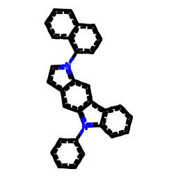 c1ccc(-n2c3ccccc3c3cc4c(ccn4-c4cccc5ccccc45)cc32)cc1